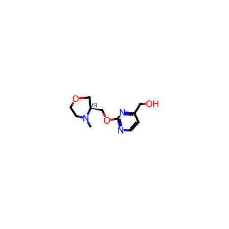 CN1CCOC[C@H]1COc1nccc(CO)n1